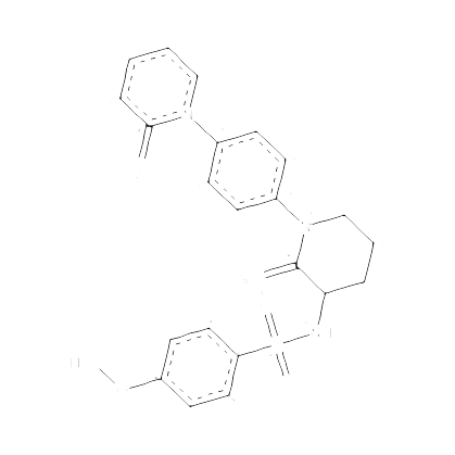 COc1ccc(S(=O)(=O)NC2CCCN(c3ccc(-n4ccccc4=O)cc3)C2=O)cc1